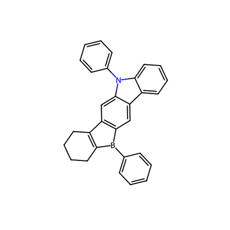 c1ccc(B2C3=C(CCCC3)c3cc4c(cc32)c2ccccc2n4-c2ccccc2)cc1